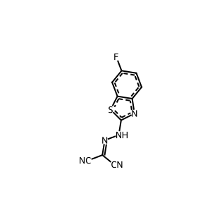 N#CC(C#N)=NNc1nc2ccc(F)cc2s1